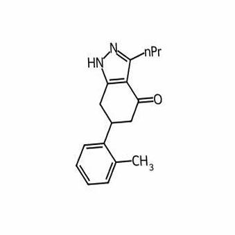 CCCc1n[nH]c2c1C(=O)CC(c1ccccc1C)C2